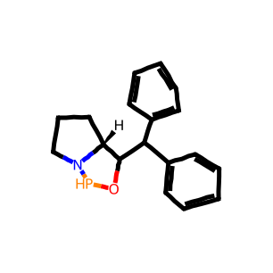 c1ccc(C(c2ccccc2)C2OPN3CCC[C@H]23)cc1